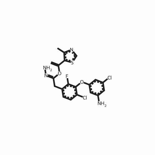 C=C(O/C(Cc1ccc(Cl)c(Oc2cc(N)cc(Cl)c2)c1F)=N\N)c1scnc1C